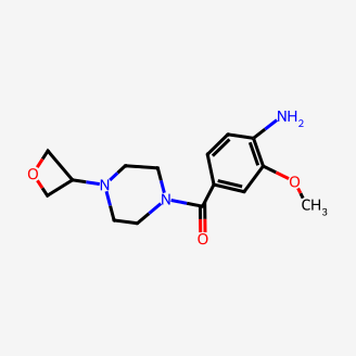 COc1cc(C(=O)N2CCN(C3COC3)CC2)ccc1N